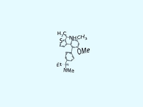 C=C1Nc2c(C)cc(OC)c(-c3ccc([C@@H](CC)CNC)cc3)c2-c2ccsc21